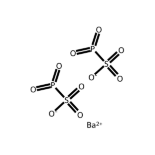 O=P(=O)S(=O)(=O)[O-].O=P(=O)S(=O)(=O)[O-].[Ba+2]